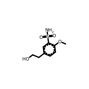 COc1ccc(CCO)cc1S(N)(=O)=O